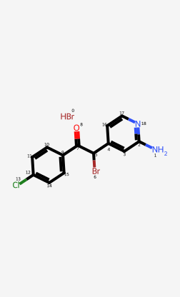 Br.Nc1cc(C(Br)C(=O)c2ccc(Cl)cc2)ccn1